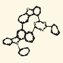 c1ccc(-c2nc(-c3ccccc3)nc(-c3cccc4oc5ccc(-c6cnc7c(c6)c6ccccc6n7-c6ccccc6)cc5c34)n2)cc1